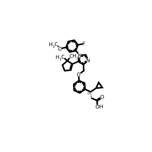 COc1ccc(F)c(-n2cnc(COc3cccc([C@@H](CC(=O)O)C4CC4)c3)c2C2=CCCC2(C)C)c1